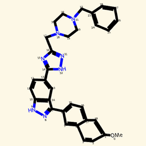 COc1ccc2cc(-c3n[nH]c4ccc(-c5nc(CN6CCN(Cc7ccccc7)CC6)n[nH]5)cc34)ccc2c1